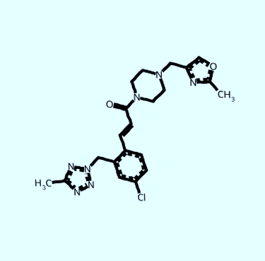 Cc1nnn(Cc2cc(Cl)ccc2C=CC(=O)N2CCN(Cc3coc(C)n3)CC2)n1